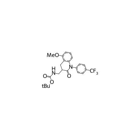 COc1cccc2c1CC(CNC(=O)OC(C)(C)C)C(=O)N2c1ccc(C(F)(F)F)cc1